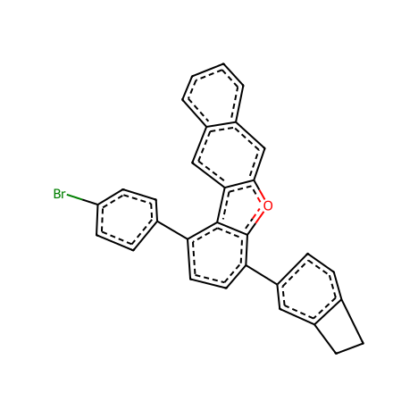 Brc1ccc(-c2ccc(-c3ccc4c(c3)CC4)c3oc4cc5ccccc5cc4c23)cc1